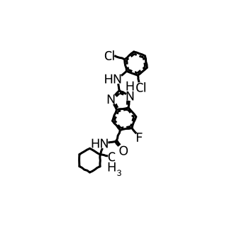 CC1(NC(=O)c2cc3nc(Nc4c(Cl)cccc4Cl)[nH]c3cc2F)CCCCC1